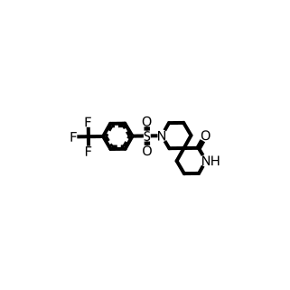 O=C1NCCCC12CCCN(S(=O)(=O)c1ccc(C(F)(F)F)cc1)C2